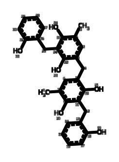 Cc1cc(Cc2cc(C)c(O)c(Cc3ccccc3O)c2O)c(O)c(Cc2ccccc2O)c1O